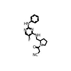 N#CCC(=O)N1CCCC1CNc1nc(Nc2ccccc2)ncc1F